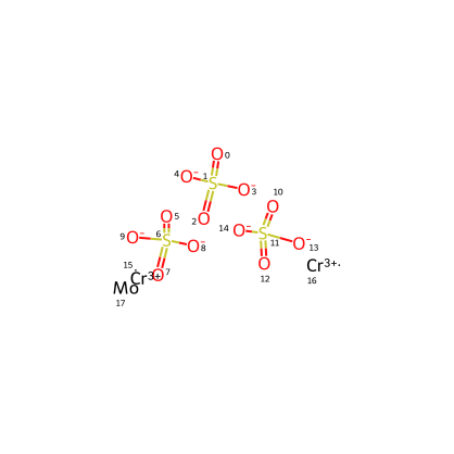 O=S(=O)([O-])[O-].O=S(=O)([O-])[O-].O=S(=O)([O-])[O-].[Cr+3].[Cr+3].[Mo]